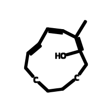 CC1=C(/O)CCCCCC/C=C/C=C\1